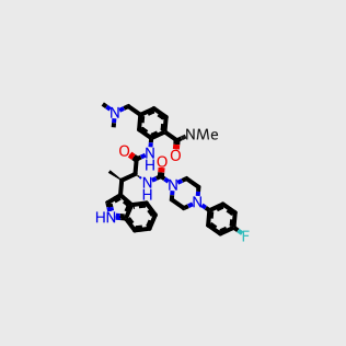 CNC(=O)c1ccc(CN(C)C)cc1NC(=O)[C@H](NC(=O)N1CCN(c2ccc(F)cc2)CC1)[C@H](C)c1c[nH]c2ccccc12